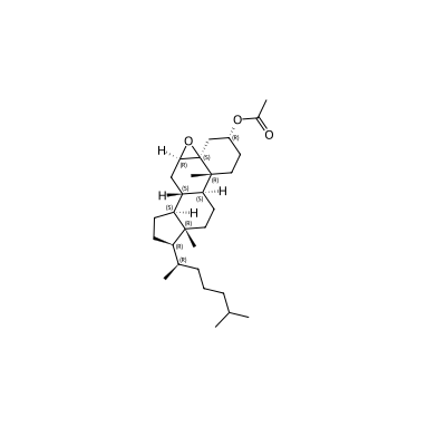 CC(=O)O[C@@H]1CC[C@]2(C)[C@H]3CC[C@]4(C)[C@@H]([C@H](C)CCCC(C)C)CC[C@H]4[C@@H]3C[C@H]3O[C@]32C1